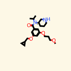 COCCCOc1cc(OCC2CC2)cc(C(=O)N(C(C)C)[C@@H]2CCCNC2)c1